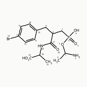 CC(N)OP(=O)(O)CC(Cc1ccc(Br)cc1)C(=O)NC(C)C(=O)O